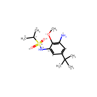 COc1c(N)cc(C(C)(C)C)cc1NS(=O)(=O)C(C)C